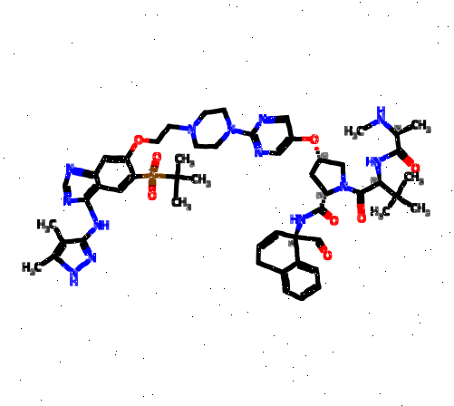 CN[C@@H](C)C(=O)N[C@H](C(=O)N1C[C@@H](Oc2cnc(N3CCN(CCOc4cc5ncnc(Nc6n[nH]c(C)c6C)c5cc4S(=O)(=O)C(C)(C)C)CC3)nc2)C[C@H]1C(=O)N[C@]1(C=O)C=CCc2ccccc21)C(C)(C)C